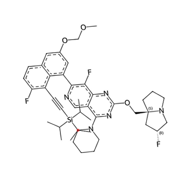 COCOc1cc(-c2ncc3c(N4CCCCC4)nc(OC[C@@]45CCCN4C[C@H](F)C5)nc3c2F)c2c(C#C[Si](C(C)C)(C(C)C)C(C)C)c(F)ccc2c1